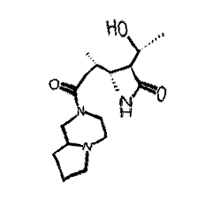 C[C@@H](O)[C@H]1C(=O)N[C@@H]1[C@@H](C)C(=O)N1CCN2CCCC2C1